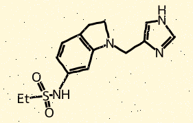 CCS(=O)(=O)Nc1ccc2c(c1)N(Cc1c[nH]cn1)CC2